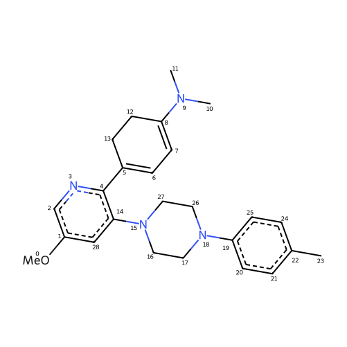 COc1cnc(C2=CC=C(N(C)C)CC2)c(N2CCN(c3ccc(C)cc3)CC2)c1